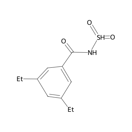 CCc1cc(CC)cc(C(=O)N[SH](=O)=O)c1